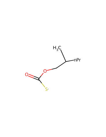 CCCC(C)COC(=O)[S]